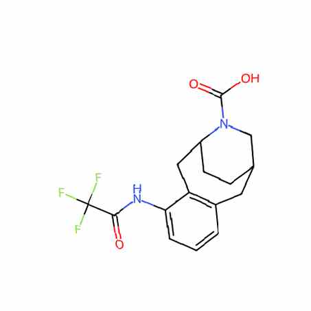 O=C(O)N1CC2CCC1Cc1c(cccc1NC(=O)C(F)(F)F)C2